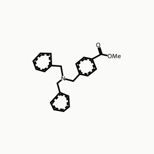 COC(=O)c1ccc(CN(Cc2ccccc2)Cc2ccccc2)cc1